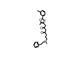 Cc1cccc(-c2nc(CC(=O)CC(=O)CCCN(C)CCc3ccccc3)c(C)o2)c1